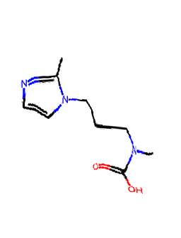 Cc1nccn1CCCN(C)C(=O)O